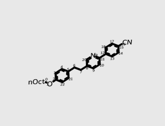 CCCCCCCCOc1ccc(CCc2ccc(-c3ccc(C#N)cc3)nc2)cc1